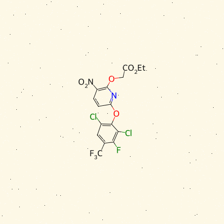 CCOC(=O)COc1nc(Oc2c(Cl)cc(C(F)(F)F)c(F)c2Cl)ccc1[N+](=O)[O-]